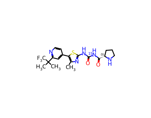 Cc1nc(NC(=O)[15NH]C(=O)[C@@H]2CCCN2)sc1-c1ccnc(C(C)(C)C(F)(F)F)c1